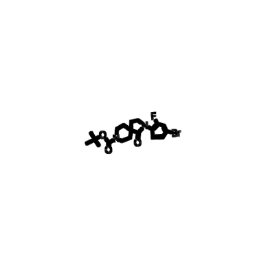 CC(C)(C)OC(=O)N1CCC2(CC1)CCN(c1ccc(Br)cc1F)C2=O